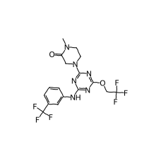 CN1CCN(c2nc(Nc3cccc(C(F)(F)F)c3)nc(OCC(F)(F)F)n2)CC1=O